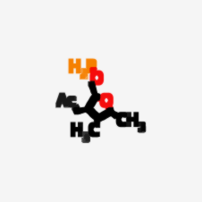 CC(=O)C[C@@H]1[C@H](C)[C@H](C)O[C@@H]1COP